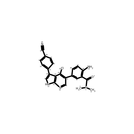 CN(C)C(=O)c1cc(-c2cnc3[nH]cc(-c4ccc(C#N)cc4)c3c2Cl)ccc1N